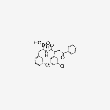 CCc1cccc(C[C@H](NC(=O)[C@@H](CC(=O)c2ccccc2)c2cccc(Cl)c2)B(O)O)c1